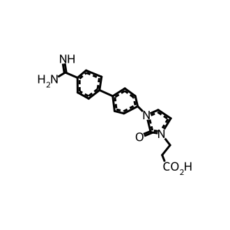 N=C(N)c1ccc(-c2ccc(-n3ccn(CCC(=O)O)c3=O)cc2)cc1